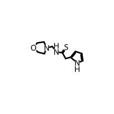 S=C(Cc1ccc[nH]1)NCN1CCOCC1